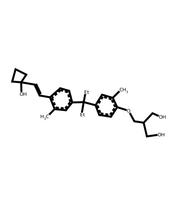 CCC(CC)(c1ccc(C=CC2(O)CCC2)c(C)c1)c1ccc(OCC(CO)CO)c(C)c1